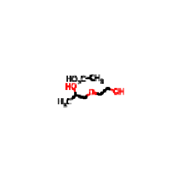 CC(=O)O.CC(O)COCCO